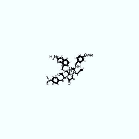 C#CCN(C(=O)NCc1ccc(OC)cc1)N1CC(=O)N2[C@@H](Cc3ccc(N(C)C)cc3)C(=O)N(Cc3cccc4sc(N)nc34)C[C@@H]21